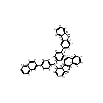 c1ccc2cc(-c3ccc(N(c4ccc(-c5ccc6oc7ccccc7c6c5)cc4)c4cccc5oc6c7ccccc7ccc6c45)cc3)ccc2c1